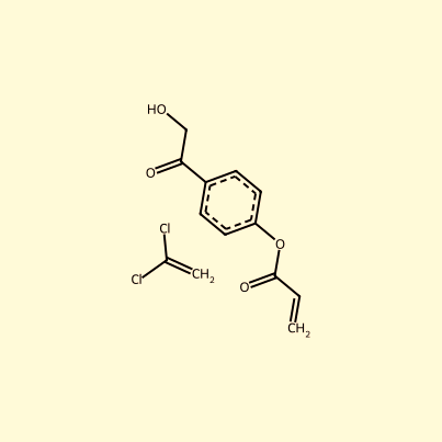 C=C(Cl)Cl.C=CC(=O)Oc1ccc(C(=O)CO)cc1